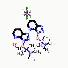 CN(C)[N+](C)(C)On1nnc2cccnc21.CN(C)[N+](C)(C)On1nnc2cccnc21.C[O-].F[P-](F)(F)(F)(F)F